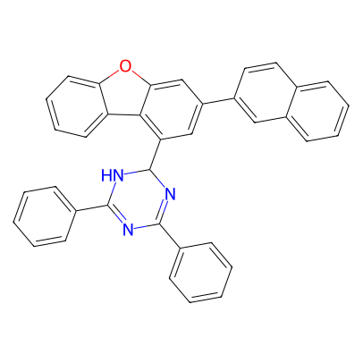 c1ccc(C2=NC(c3cc(-c4ccc5ccccc5c4)cc4oc5ccccc5c34)NC(c3ccccc3)=N2)cc1